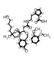 COc1cccc([C@H]2O[C@H](CC(=O)NCCc3occc3C(=O)O)C(=O)N(CC(C)(C)CCCCO)c3ccc(Cl)cc32)c1OC